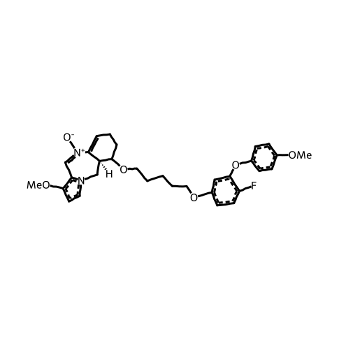 COc1ccc(Oc2cc(OCCCCCOC3CCC=C4[C@@H]3Cn3ccc(OC)c3C=[N+]4[O-])ccc2F)cc1